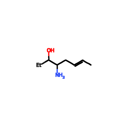 CC=CCC(N)C(O)CC